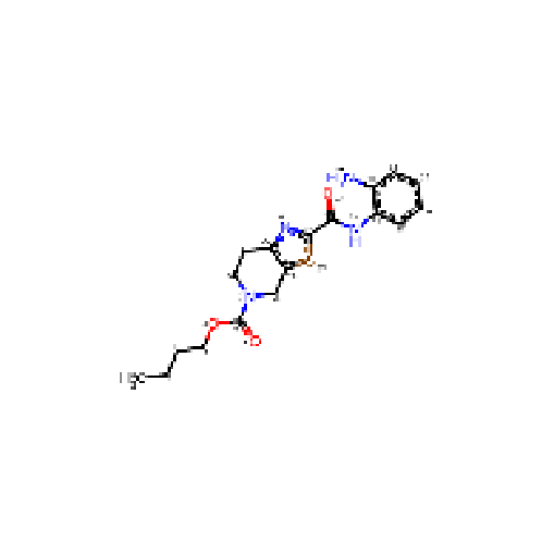 CCCCOC(=O)N1CCc2nc(C(=O)Nc3ccccc3N)sc2C1